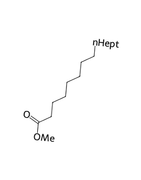 CCCCCCCCCCCCCCC(=O)OC